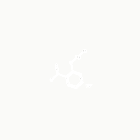 C[CH2][Hg][O]c1ccccc1C([O-])=S.[Na+]